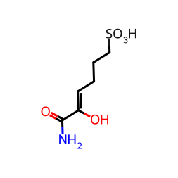 NC(=O)C(O)=CCCCS(=O)(=O)O